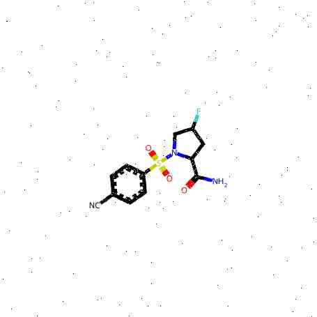 N#Cc1ccc(S(=O)(=O)N2CC(F)CC2C(N)=O)cc1